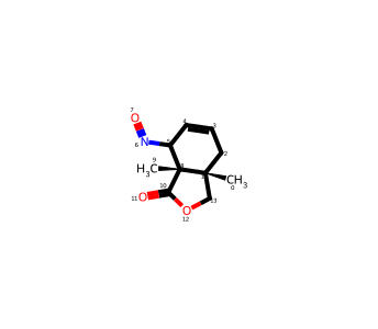 C[C@]12CC=CC(N=O)[C@@]1(C)C(=O)OC2